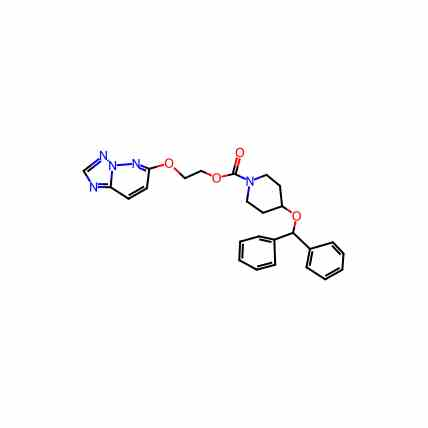 O=C(OCCOc1ccc2ncnn2n1)N1CCC(OC(c2ccccc2)c2ccccc2)CC1